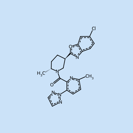 Cc1ccc(-n2nccn2)c(C(=O)N2C[C@H](c3nc4ccc(Cl)cc4o3)CC[C@H]2C)n1